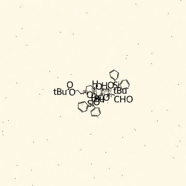 CC(C)(C)C(=O)OCC[C@H]1CC[C@@H]2O[C@@H]3[C@@H](O[C@H](CC=O)[C@@H]3O[Si](c3ccccc3)(c3ccccc3)C(C)(C)C)[C@@H](O[Si](c3ccccc3)(c3ccccc3)C(C)(C)C)[C@H]2O1